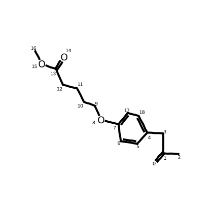 C=C(C)Cc1ccc(OCCCCC(=O)OC)cc1